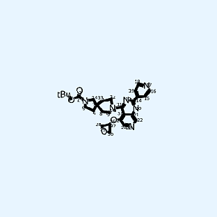 CC(C)(C)OC(=O)N1CCC2(CCN(c3nc(-c4ccncc4)nc4cncc(OC5COC5)c34)CC2)C1